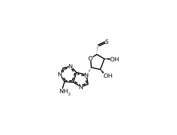 Nc1ncnc2c1ncn2[C@@H]1O[C@H](C=S)[C@@H](O)[C@H]1O